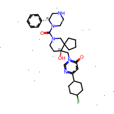 O=C(N1CC[C@@](O)(Cn2cnc(C3CCC(F)CC3)cc2=O)C2(CCCC2)C1)N1CCNC[C@H]1c1ccccc1